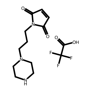 O=C(O)C(F)(F)F.O=C1C=CC(=O)N1CCCN1CCNCC1